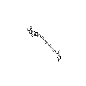 CCC1CC(=O)N(Cc2cn(CCOCCOCCOCCOCCC(=O)N3CCC(C)C3)nn2)C1=O